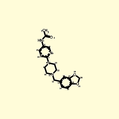 CC(=O)Nc1cnc(N2CCN(Cc3ccc4c(c3)OCO4)CC2)nc1